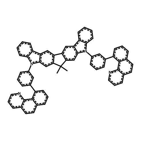 CC1(C)c2cc3c(cc2-c2cc4c5ccccc5n(-c5cccc(-c6cccc7ccc8cccnc8c67)c5)c4cc21)c1ccccc1n3-c1cccc(-c2cccc3ccc4cccnc4c23)c1